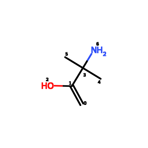 C=C(O)C(C)(C)N